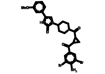 COc1cccc(-c2cn(C3CCN(C(=O)C4CC4C(=O)c4cc(Br)c(N)c(Br)c4)CC3)c(=O)[nH]2)c1